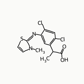 CC(C(=O)O)c1cc(N=c2sccn2C)c(Cl)cc1Cl